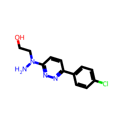 NN(CCO)c1ccc(-c2ccc(Cl)cc2)nn1